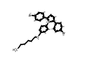 CCCCCCOc1ccc(-n2c(-c3ccc(Br)cc3)ccc2-c2ccc(Br)cc2)cc1